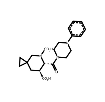 O=C(O)[C@H]1CC2(CC2)CN(C(=O)O)[C@@H]1C(=O)N1CCN(c2ccccc2)CC1